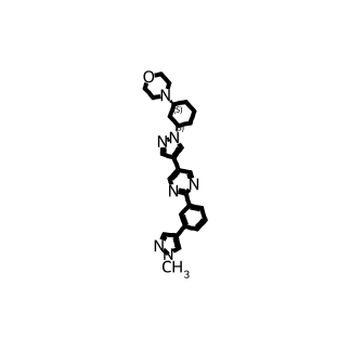 Cn1cc(-c2cccc(-c3ncc(-c4cnn([C@H]5CCC[C@H](N6CCOCC6)C5)c4)cn3)c2)cn1